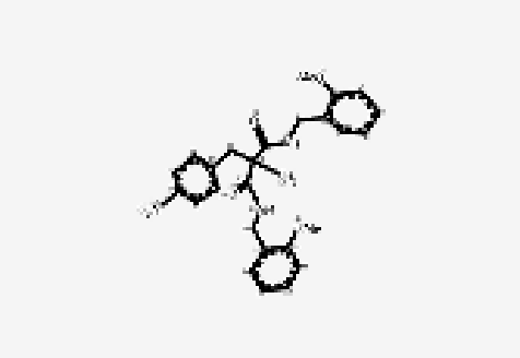 COc1ccccc1CNC(=O)C(C)(Cc1ccc([N+](=O)[O-])cc1)C(=O)NCc1ccccc1OC